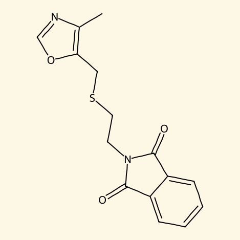 Cc1ncoc1CSCCN1C(=O)c2ccccc2C1=O